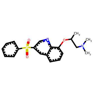 CC(CN(C)C)Oc1cccc2cc(S(=O)(=O)c3ccccc3)cnc12